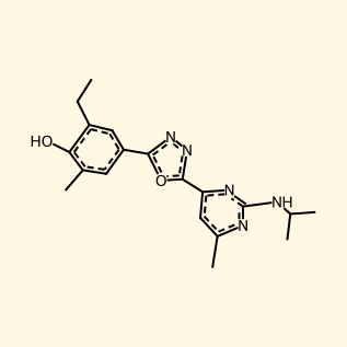 CCc1cc(-c2nnc(-c3cc(C)nc(NC(C)C)n3)o2)cc(C)c1O